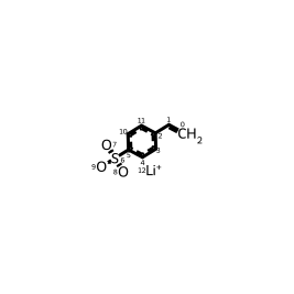 C=Cc1ccc(S(=O)(=O)[O-])cc1.[Li+]